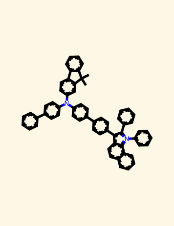 CC1(C)c2ccccc2-c2ccc(N(c3ccc(-c4ccccc4)cc3)c3ccc(-c4ccc(-c5c(-c6ccccc6)n(-c6ccccc6)c6c5ccc5ccccc56)cc4)cc3)cc21